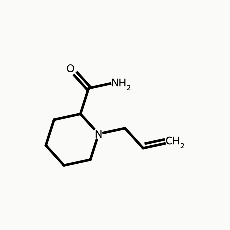 C=CCN1CCCCC1C(N)=O